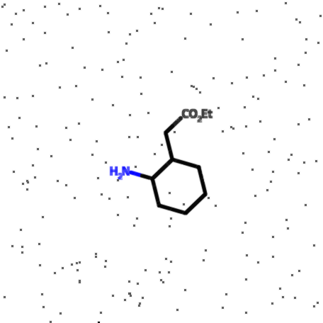 CCOC(=O)CC1CCCCC1N